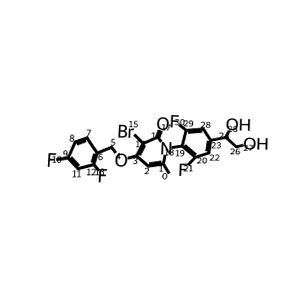 Cc1cc(OCc2ccc(F)cc2F)c(Br)c(=O)n1-c1c(F)cc(C(O)CO)cc1F